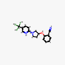 N#Cc1ccccc1OC1CCN(c2ccc(C(F)(F)F)cn2)C1